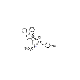 CCOC(=O)/C=C\SC1C(C(C)O[Si](c2ccccc2)(c2ccccc2)C(C)(C)C)C(=O)N1C(Cl)C(=O)OCc1ccc([N+](=O)[O-])cc1